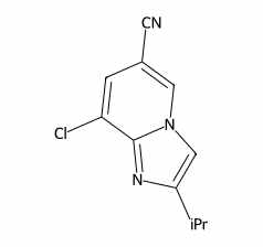 CC(C)c1cn2cc(C#N)cc(Cl)c2n1